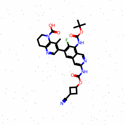 Cc1c(-c2cc3cc(NC(=O)OC4CC(C#N)C4)ncc3c(NC(=O)OC(C)(C)C)c2F)cnc2c1N(C(=O)O)CCC2